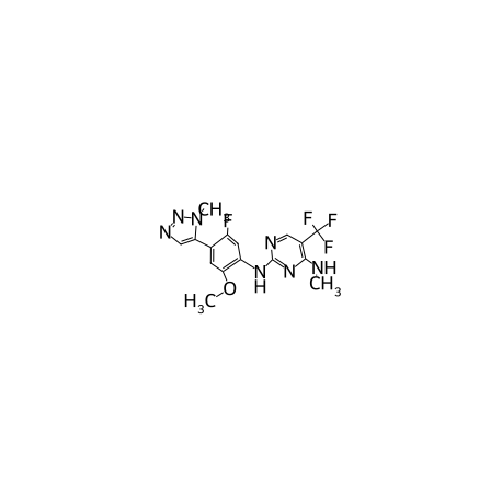 CNc1nc(Nc2cc(F)c(-c3cnnn3C)cc2OC)ncc1C(F)(F)F